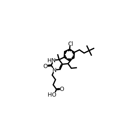 CCC(C)C1=CN(CCCC(=O)O)C(=O)NC1(C)c1ccc(CCC(C)(C)C)c(Cl)c1